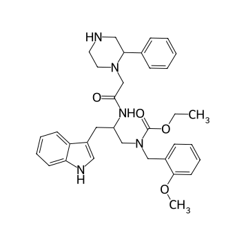 CCOC(=O)N(Cc1ccccc1OC)CC(Cc1c[nH]c2ccccc12)NC(=O)CN1CCNCC1c1ccccc1